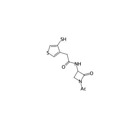 CC(=O)N1CC(NC(=O)Cc2cscc2S)C1=O